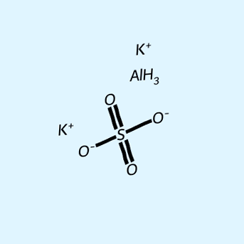 O=S(=O)([O-])[O-].[AlH3].[K+].[K+]